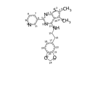 Cc1sc2nc(-c3cccnc3)nc(NCCc3ccc4c(c3)OCO4)c2c1C